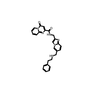 O=C(NCc1cn2cc(CNCCc3ccccc3)ccc2n1)c1cc(=O)n2ccccc2n1